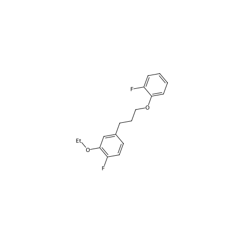 CCOc1cc(CCCOc2ccccc2F)ccc1F